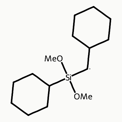 CO[Si]([CH]C1CCCCC1)(OC)C1CCCCC1